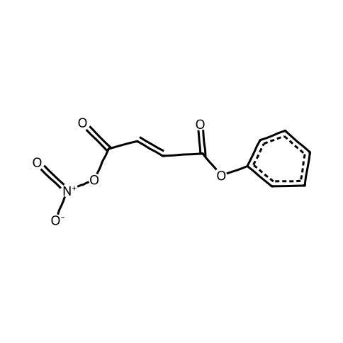 O=C(/C=C/C(=O)O[N+](=O)[O-])Oc1ccccc1